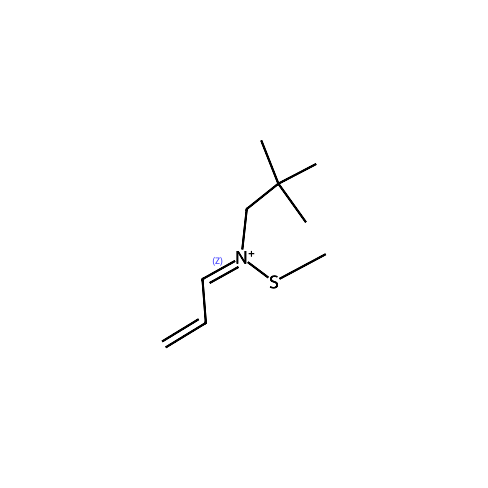 C=C/C=[N+](/CC(C)(C)C)SC